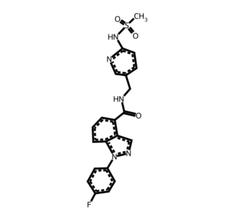 CS(=O)(=O)Nc1ccc(CNC(=O)c2cccc3c2cnn3-c2ccc(F)cc2)cn1